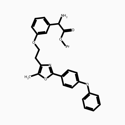 Cc1oc(-c2ccc(Oc3ccccc3)cc2)nc1CCOc1[c]c(C(N)C(=O)OC(C)C)ccc1